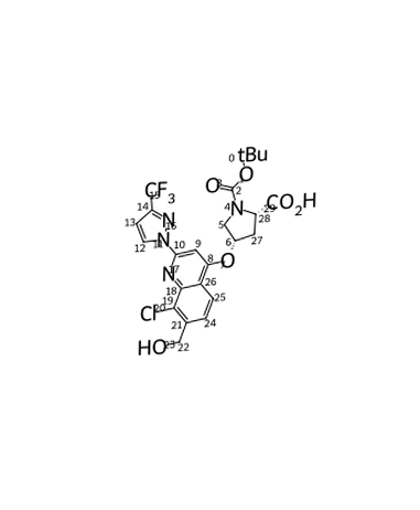 CC(C)(C)OC(=O)N1C[C@@H](Oc2cc(-n3ccc(C(F)(F)F)n3)nc3c(Cl)c(CO)ccc23)C[C@H]1C(=O)O